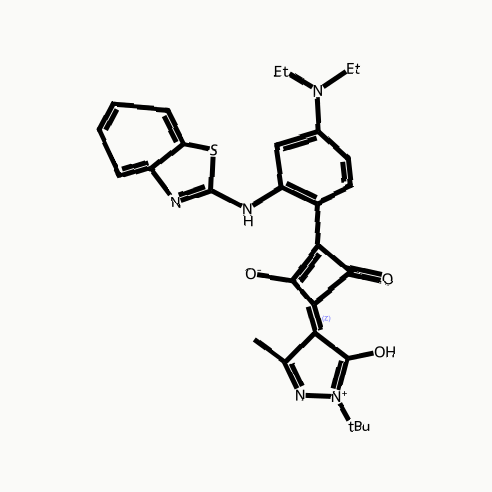 CCN(CC)c1ccc(C2=C([O-])/C(=C3\C(C)=N[N+](C(C)(C)C)=C3O)C2=O)c(Nc2nc3ccccc3s2)c1